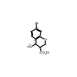 CCOC(=O)C1COc2cc(Br)ccc2C1O